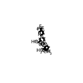 CC1(C)[C@@H]2CC[C@@]1(CS(=O)(=O)N1CCN(c3ccc(C(F)(F)F)cn3)CC1CO)C(=O)C2